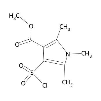 COC(=O)c1c(S(=O)(=O)Cl)c(C)n(C)c1C